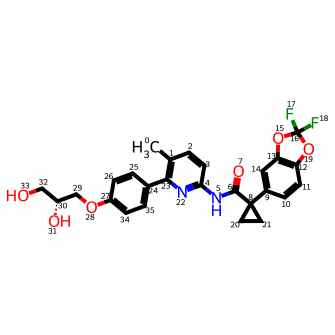 Cc1ccc(NC(=O)C2(c3ccc4c(c3)OC(F)(F)O4)CC2)nc1-c1ccc(OC[C@H](O)CO)cc1